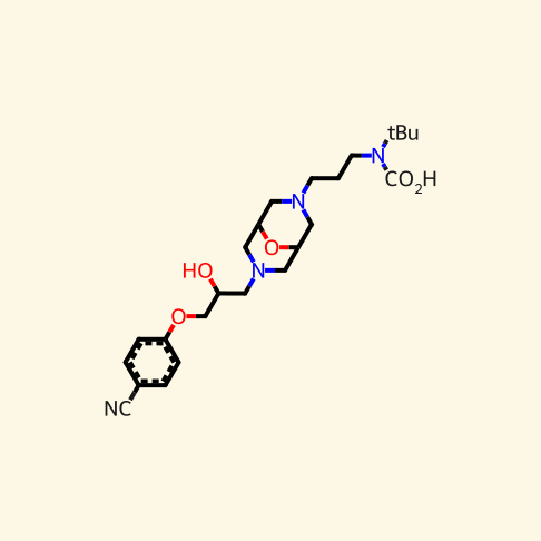 CC(C)(C)N(CCCN1CC2CN(CC(O)COc3ccc(C#N)cc3)CC(C1)O2)C(=O)O